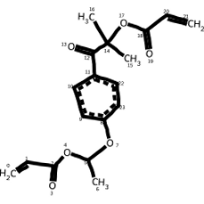 C=CC(=O)OC(C)Oc1ccc(C(=O)C(C)(C)OC(=O)C=C)cc1